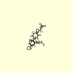 Nc1cc(Cl)cnc1N1CCC(OCC2CC2)CC1